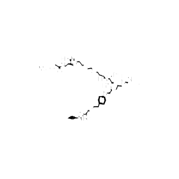 COCC(=O)NCc1cn(CCOCCOCCC(=O)N[C@H](C(=O)N[C@@H](CCCNC(N)=O)C(=O)Nc2ccc(CCOCC(=O)NNC3C4=C3C4)cc2)C(C)C)nn1